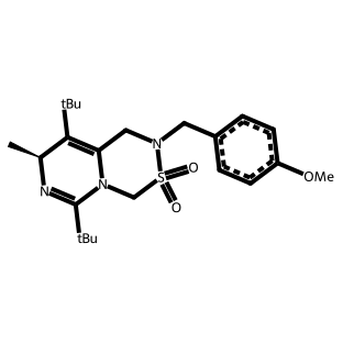 COc1ccc(CN2CC3=C(C(C)(C)C)[C@H](C)N=C(C(C)(C)C)N3CS2(=O)=O)cc1